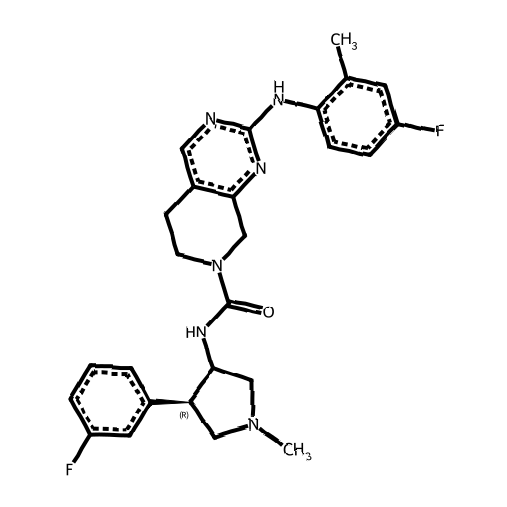 Cc1cc(F)ccc1Nc1ncc2c(n1)CN(C(=O)NC1CN(C)C[C@H]1c1cccc(F)c1)CC2